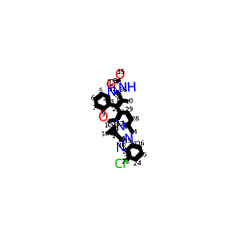 CC(=C1c2ccccc2OCc2nc(Cn3c(C4CC4)nc4c(Cl)cccc43)ccc21)c1noc(=O)[nH]1